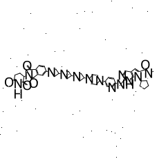 CN(C)C(=O)c1cc2cnc(Nc3ccc(N4CCN(C5CN(C6CN(C7CN(c8ccc9c(c8)C(=O)N(C8CCC(=O)NC8=O)C9=O)C7)C6)C5)CC4)cn3)nc2n1C1CCCC1